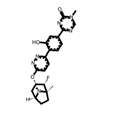 CN1[C@H]2CC[C@]1(C)[C@@H](F)[C@@H](Oc1ccc(-c3ccc(-c4ncn(C)c(=O)n4)cc3O)nn1)C2